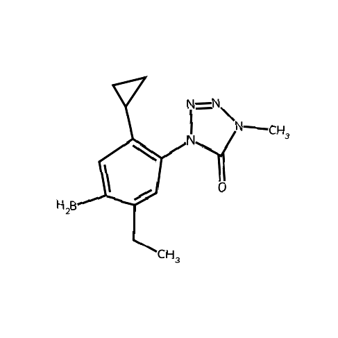 Bc1cc(C2CC2)c(-n2nnn(C)c2=O)cc1CC